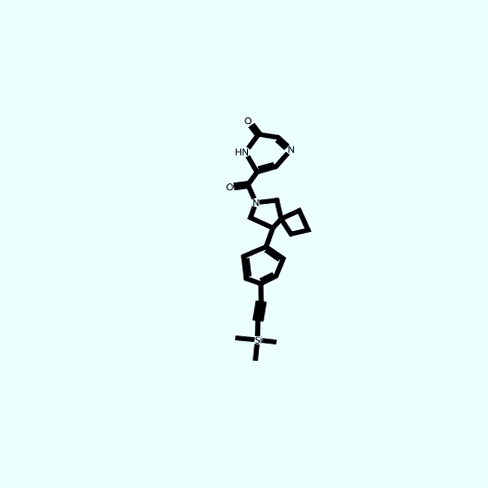 C[Si](C)(C)C#Cc1ccc(C2CN(C(=O)c3cncc(=O)[nH]3)CC23CCC3)cc1